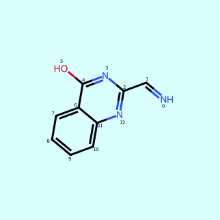 N=Cc1nc(O)c2ccccc2n1